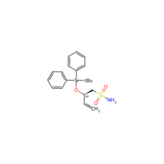 C=C[C@H](CS(N)(=O)=O)O[Si](c1ccccc1)(c1ccccc1)C(C)(C)C